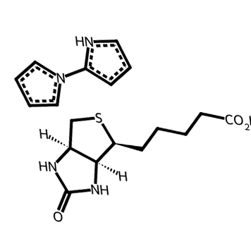 O=C(O)CCCC[C@@H]1SC[C@@H]2NC(=O)N[C@@H]21.c1c[nH]c(-n2cccc2)c1